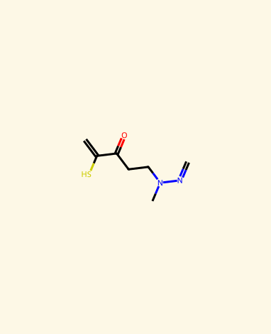 C=NN(C)CCC(=O)C(=C)S